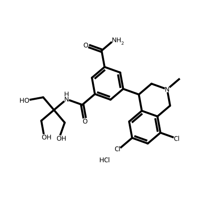 CN1Cc2c(Cl)cc(Cl)cc2C(c2cc(C(N)=O)cc(C(=O)NC(CO)(CO)CO)c2)C1.Cl